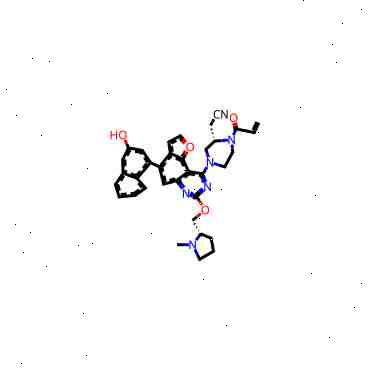 C=CC(=O)N1CCN(c2nc(OC[C@@H]3CCCN3C)nc3cc(-c4cc(O)cc5ccccc45)c4ccoc4c23)C[C@@H]1CC#N